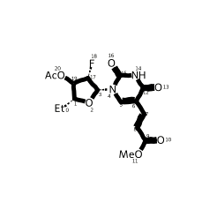 CC[C@H]1O[C@@H](n2cc(/C=C/C(=O)OC)c(=O)[nH]c2=O)[C@@H](F)C1OC(C)=O